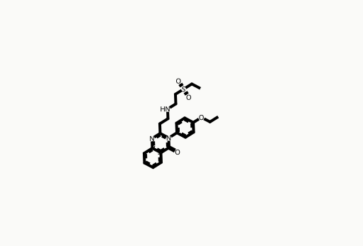 CCOc1ccc(-n2c(CCNCCS(=O)(=O)CC)nc3ccccc3c2=O)cc1